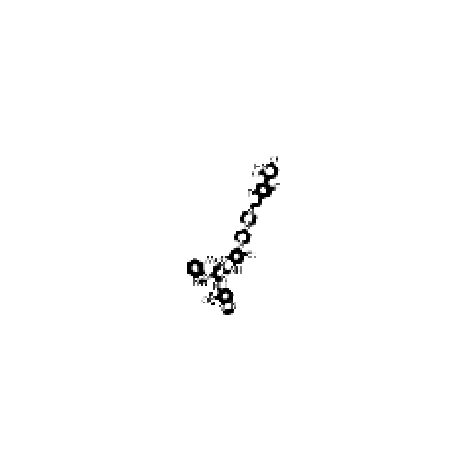 CCc1cc(Nc2ncc(-n3nnc4ccccc43)c(Nc3ccc4nccnc4c3P(C)(C)=O)n2)c(OC)cc1N1CCC(N2CCN(CCc3cc(F)c(C4CCC(=O)NC4=O)cc3F)CC2)CC1